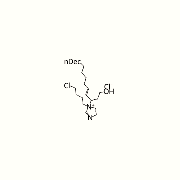 CCCCCCCCCCCCCC/C=C/C(CCO)[N+]1(CCCCCl)C=NCC1.[Cl-]